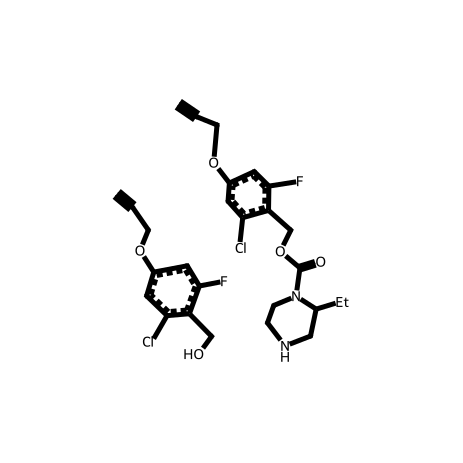 C#CCOc1cc(F)c(CO)c(Cl)c1.C#CCOc1cc(F)c(COC(=O)N2CCNCC2CC)c(Cl)c1